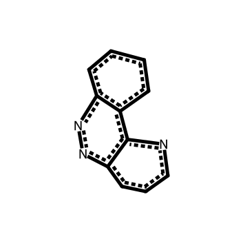 c1ccc2c(c1)nnc1cccnc12